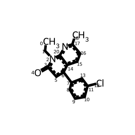 CCn1c(=O)cc(-c2cccc(Cl)c2)c2ccc(C)nc21